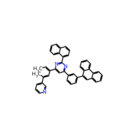 C/C=C(\C=C(/C)c1cccnc1)c1cc(-c2cccc(-c3cc4ccccc4c4ccccc34)c2)nc(-c2cccc3ccccc23)n1